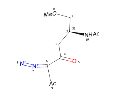 COC[C@H](CC(=O)C(=[N+]=[N-])C(C)=O)NC(C)=O